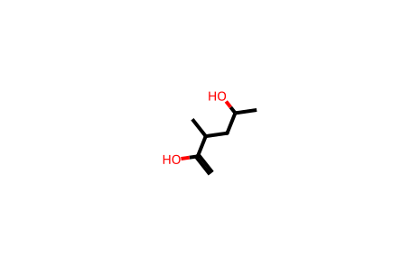 C=C(O)C(C)CC(C)O